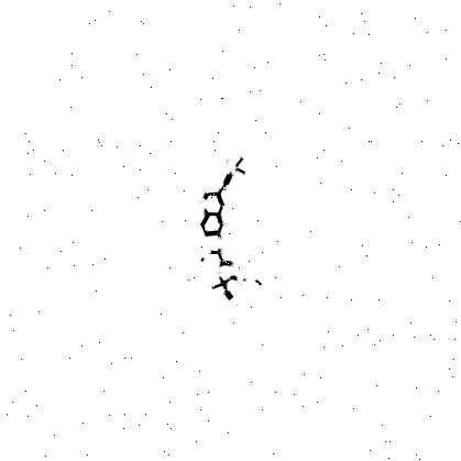 CO/N=C/C(C)(C#N)NC(=O)C(Oc1ccc2ncc(C#C[Si](C)(C)C)cc2c1)SC